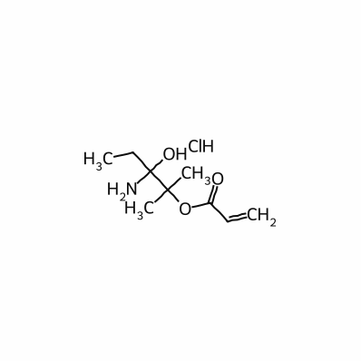 C=CC(=O)OC(C)(C)C(N)(O)CC.Cl